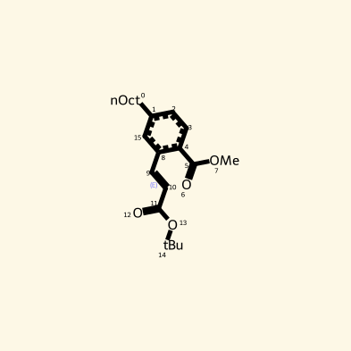 CCCCCCCCc1ccc(C(=O)OC)c(/C=C/C(=O)OC(C)(C)C)c1